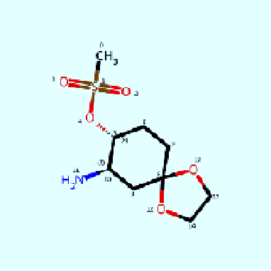 CS(=O)(=O)O[C@@H]1CCC2(C[C@H]1N)OCCO2